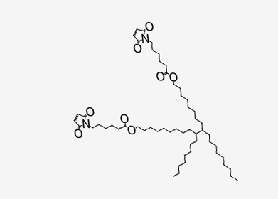 CCCCCCCCCC(CCCCCCCCOC(=O)CCCCCN1C(=O)C=CC1=O)C(CCCCCCCC)CCCCCCCCCOC(=O)CCCCCN1C(=O)C=CC1=O